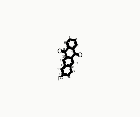 O=C1c2ccccc2C(=O)c2cc3cc(F)ccc3cc21